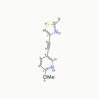 COc1ccc(C#Cc2csc(C)n2)cn1